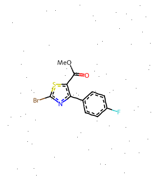 COC(=O)c1sc(Br)nc1-c1ccc(F)cc1